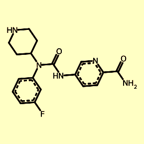 NC(=O)c1ccc(NC(=O)N(c2cccc(F)c2)C2CCNCC2)cn1